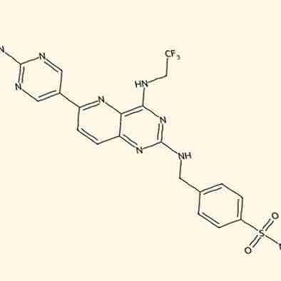 Nc1ncc(-c2ccc3nc(NCc4ccc(S(N)(=O)=O)cc4)nc(NCC(F)(F)F)c3n2)cn1